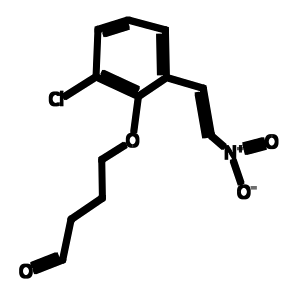 O=CCCCOc1c(Cl)cccc1C=C[N+](=O)[O-]